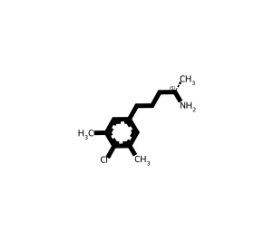 Cc1cc(CCC[C@H](C)N)cc(C)c1Cl